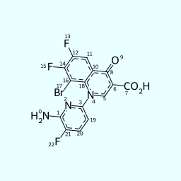 Nc1nc(-n2cc(C(=O)O)c(=O)c3cc(F)c(F)c(Br)c32)ccc1F